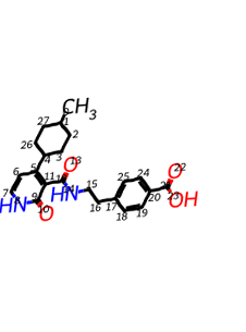 CC1CCC(c2cc[nH]c(=O)c2C(=O)NCCc2ccc(C(=O)O)cc2)CC1